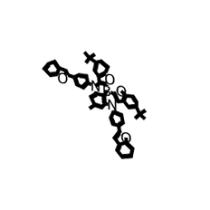 Cc1cc2c3c(c1)N(c1ccc(-c4cc5ccccc5o4)cc1)c1c(oc4ccc(C(C)(C)C)cc14)B3c1oc3ccc(C(C)(C)C)cc3c1N2c1ccc(-c2cc3ccccc3o2)cc1